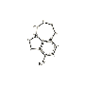 Brc1ccc2c3c1CCN3CCCC2